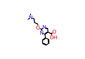 CN(C)CCCOc1ncc(C(=O)O)c(-c2ccccc2)n1